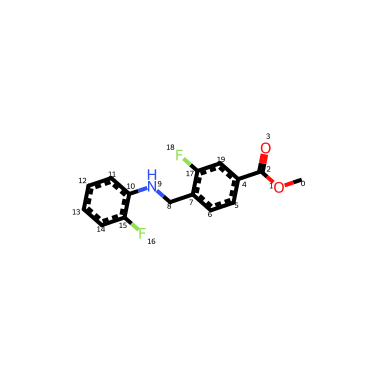 COC(=O)c1ccc(CNc2ccccc2F)c(F)c1